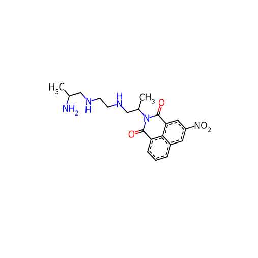 CC(N)CNCCNCC(C)N1C(=O)c2cccc3cc([N+](=O)[O-])cc(c23)C1=O